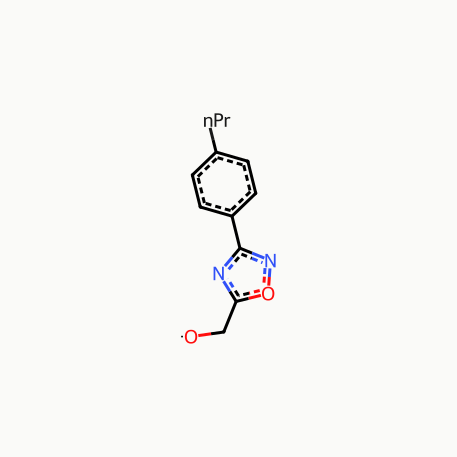 CCCc1ccc(-c2noc(C[O])n2)cc1